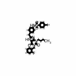 CCCCn1c(=O)n(Cc2ccccc2F)c(=O)c2[nH]c(Cc3ccc(NS(=O)(=O)c4ccc(I)cc4)cc3)nc21